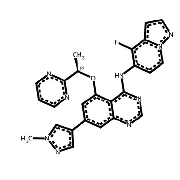 C[C@@H](Oc1cc(-c2cnn(C)c2)cc2ncnc(Nc3ccn4nccc4c3F)c12)c1ncccn1